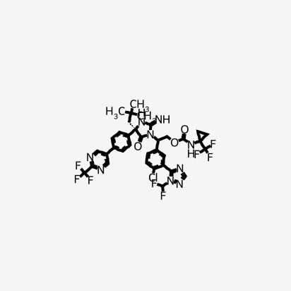 CC(C)(C)C[C@]1(c2ccc(-c3cnc(C(F)(F)F)nc3)cc2)NC(=N)N(C(COC(=O)NC2(C(F)(F)F)CC2)c2ccc(Cl)c(-c3ncnn3C(F)F)c2)C1=O